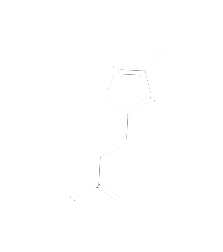 NC(=O)COc1nc(F)ns1